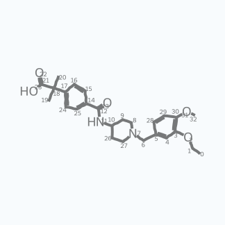 CCOc1cc(CN2CCC(NC(=O)c3ccc(C(C)(C)C(=O)O)cc3)CC2)ccc1OC